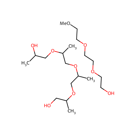 CC(O)COC(C)COC(C)COC(C)CO.COCCOCCOCCO